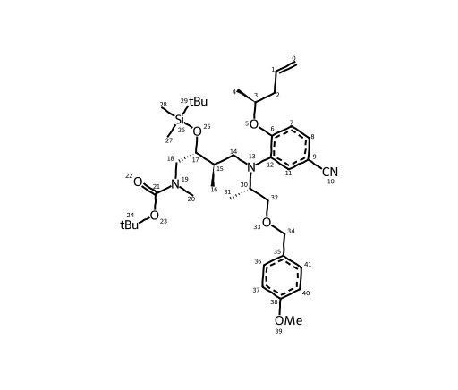 C=CC[C@H](C)Oc1ccc(C#N)cc1N(C[C@@H](C)[C@H](CN(C)C(=O)OC(C)(C)C)O[Si](C)(C)C(C)(C)C)[C@@H](C)COCc1ccc(OC)cc1